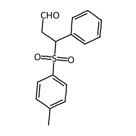 Cc1ccc(S(=O)(=O)C(CC=O)c2ccccc2)cc1